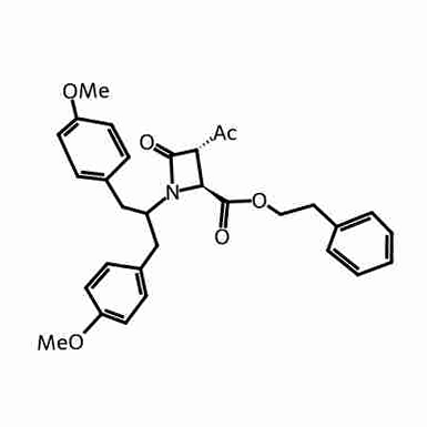 COc1ccc(CC(Cc2ccc(OC)cc2)N2C(=O)[C@H](C(C)=O)[C@H]2C(=O)OCCc2ccccc2)cc1